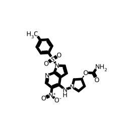 Cc1ccc(S(=O)(=O)n2ccc3c(NN4CC[C@@H](OC(N)=O)C4)c([N+](=O)[O-])cnc32)cc1